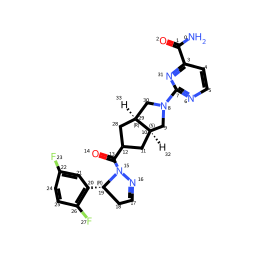 NC(=O)c1ccnc(N2C[C@H]3CC(C(=O)N4N=CC[C@@H]4c4cc(F)ccc4F)C[C@H]3C2)n1